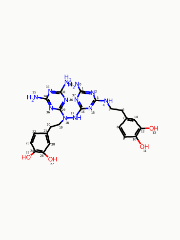 Nc1nc(NCCc2ccc(O)c(O)c2)nc(NN(CCc2ccc(O)c(O)c2)c2nc(N)nc(N)n2)n1